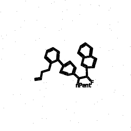 C=CCCc1ccccc1-c1ccc(C(CCCCC)C(F)c2ccc3ccccc3c2)cc1